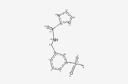 CS(=O)(=O)c1cccc(CNC(=O)c2ncco2)c1